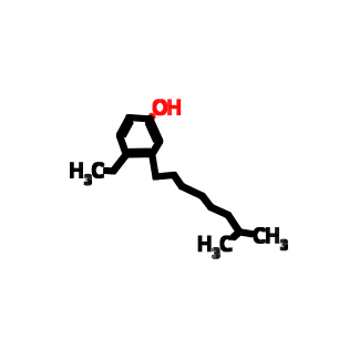 CCc1ccc(O)cc1CCCCCCC(C)C